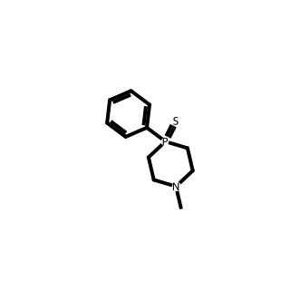 CN1CCP(=S)(c2ccccc2)CC1